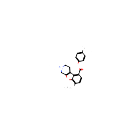 CCOC(=O)N1CCc2c(oc3c(OC)ccc(C(=O)Oc4ccc([N+](=O)[O-])cc4)c23)C1